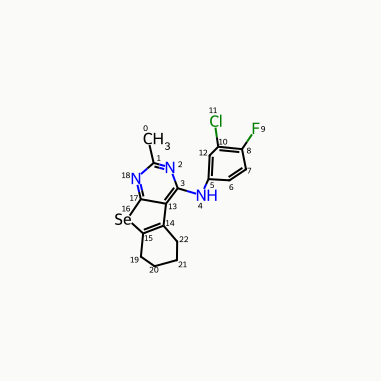 Cc1nc(Nc2ccc(F)c(Cl)c2)c2c3c([se]c2n1)CCCC3